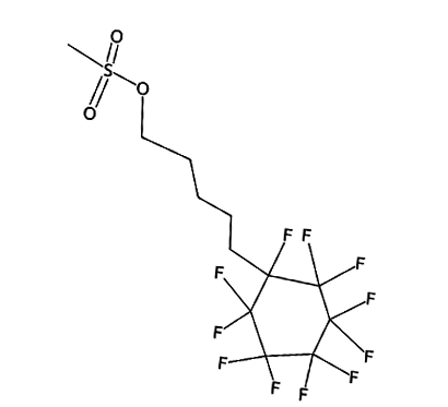 CS(=O)(=O)OCCCCCC1(F)C(F)(F)C(F)(F)C(F)(F)C(F)(F)C1(F)F